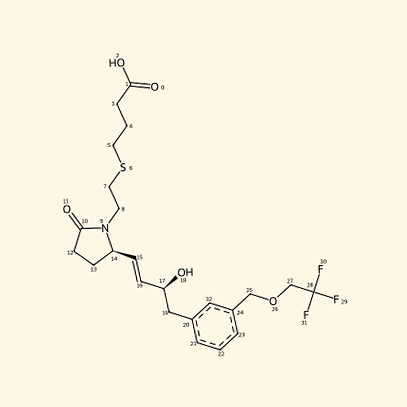 O=C(O)CCCSCCN1C(=O)CC[C@@H]1/C=C/[C@@H](O)Cc1cccc(COCC(F)(F)F)c1